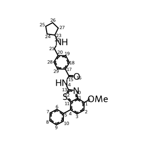 COc1ccc(-c2ccccc2)c2sc(NC(=O)c3ccc(CNC4CCCC4)cc3)nc12